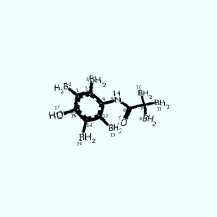 Bc1c(B)c(NC(=O)C(B)(B)B)c(B)c(B)c1O